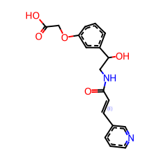 O=C(O)COc1cccc(C(O)CNC(=O)/C=C/c2cccnc2)c1